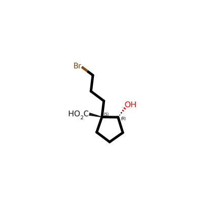 O=C(O)[C@]1(CCCBr)CCC[C@H]1O